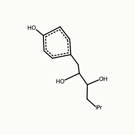 CC(C)CC(O)C(O)Cc1ccc(O)cc1